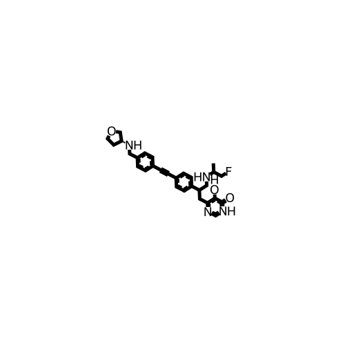 CC(CF)NCC(Cc1nc[nH]c(=O)c1O)c1ccc(C#Cc2ccc(CN[C@@H]3CCOC3)cc2)cc1